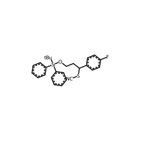 CC(C)(C)[Si](OCCC(SC#N)c1ccc(F)cc1)(c1ccccc1)c1ccccc1